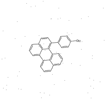 Oc1ccc(-c2ccc3cccc4c5cccc6cccc(c2c34)c65)cc1